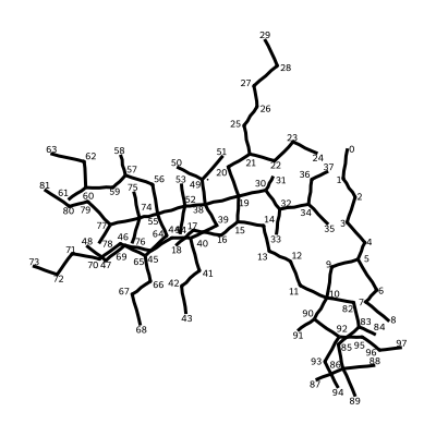 CCCCCC(CCC)CC(CCCCC(CCC)C(CC(CCC)CCCCC)(C(C)C(C)C(C)CC)C(CC(CCC)CCCCC)([C](C)C)C(C)(C)C(CC(C)CC(C)CC)(CC(CCC)CCCCC)C(C)(C)C(C)CCC)(CC(C)CC(C)(C)C)C(C)C(CC)CCC